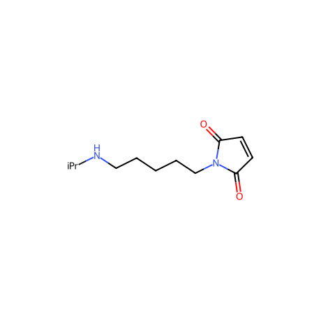 CC(C)NCCCCCN1C(=O)C=CC1=O